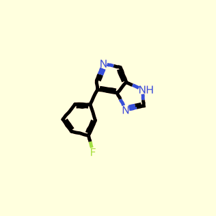 Fc1cccc(-c2cncc3[nH]cnc23)c1